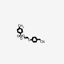 Cc1ccc(S(=O)(=O)ON=COc2ccc(CC#N)cc2)cc1